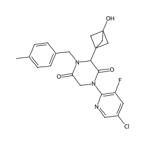 Cc1ccc(CN2C(=O)CN(c3ncc(Cl)cc3F)C(=O)C2C23CC(O)(C2)C3)cc1